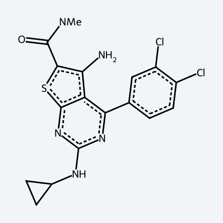 CNC(=O)c1sc2nc(NC3CC3)nc(-c3ccc(Cl)c(Cl)c3)c2c1N